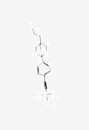 CCCC12COC(c3ccc(C#C[Si](C)(C)C)cc3)(OC1)OC2